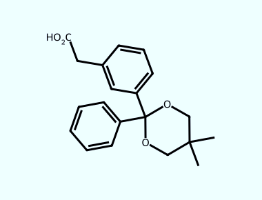 CC1(C)COC(c2ccccc2)(c2cccc(CC(=O)O)c2)OC1